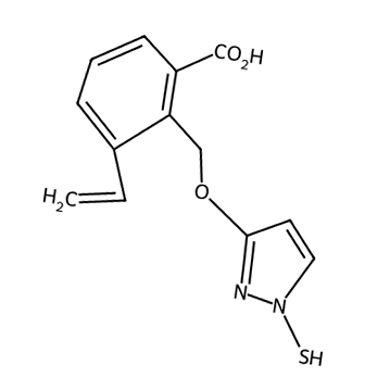 C=Cc1cccc(C(=O)O)c1COc1ccn(S)n1